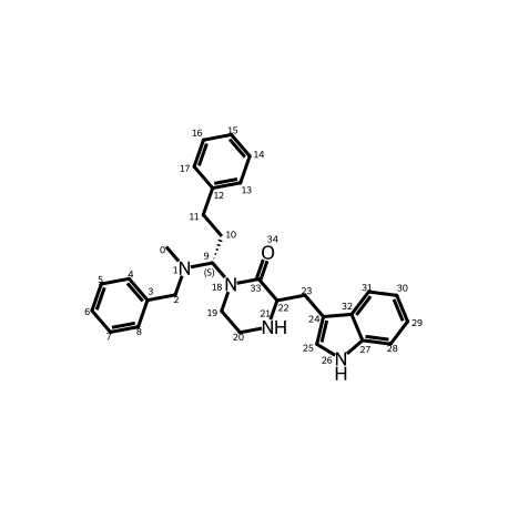 CN(Cc1ccccc1)[C@H](CCc1ccccc1)N1CCNC(Cc2c[nH]c3ccccc23)C1=O